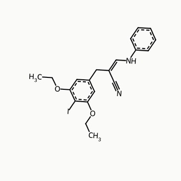 CCOc1cc(C/C(C#N)=C/Nc2ccccc2)cc(OCC)c1I